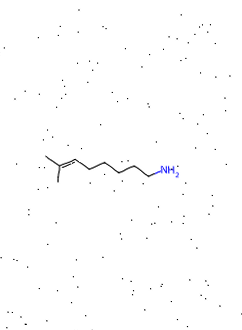 CC(C)=CCCCCCN